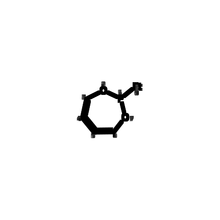 CCP1OC=C=C=CO1